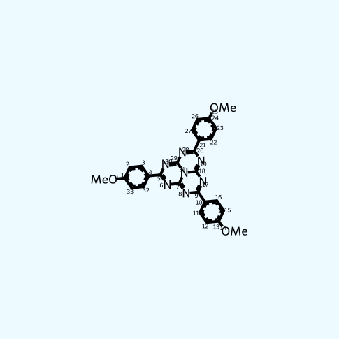 COc1ccc(C2=NC3=NC(c4ccc(OC)cc4)=NC4=NC(c5ccc(OC)cc5)=NC(=N2)N34)cc1